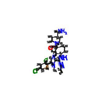 C=C/N=C(/NC1C=C(C)C(C(=O)N2CCC(CN)CC2)CCC1)c1ncc(C2=C(Cl)C=C(Cl)CS2)n1C